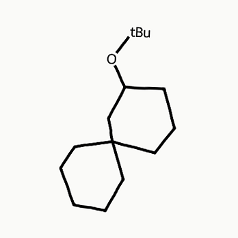 CC(C)(C)OC1CCCC2(CCCCC2)C1